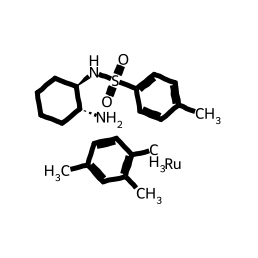 Cc1ccc(C)c(C)c1.Cc1ccc(S(=O)(=O)N[C@@H]2CCCC[C@H]2N)cc1.[Ru]